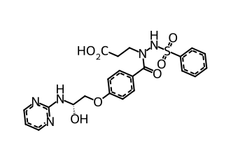 O=C(O)CCN(NS(=O)(=O)c1ccccc1)C(=O)c1ccc(OC[C@H](O)Nc2ncccn2)cc1